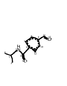 CC(C)NC(=O)c1ccc(C=O)cc1